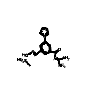 CS(=O)(=O)O.NC(N)=NC(=O)c1cc(C=NO)cc(-n2cccc2)c1